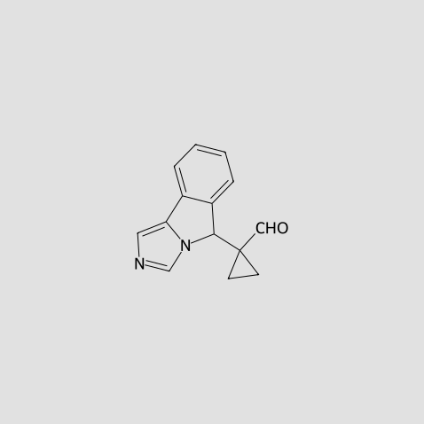 O=CC1(C2c3ccccc3-c3cncn32)CC1